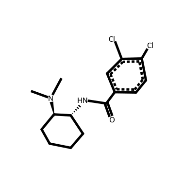 CN(C)[C@@H]1CCCC[C@H]1NC(=O)c1ccc(Cl)c(Cl)c1